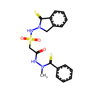 CN(NC(=O)CS(=O)(=O)NN1Cc2ccccc2C1=S)C(=S)c1ccccc1